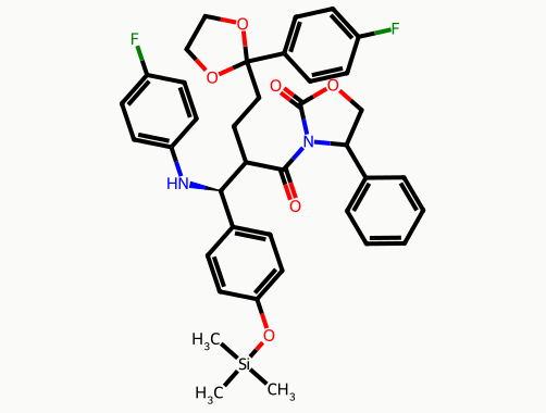 C[Si](C)(C)Oc1ccc([C@@H](Nc2ccc(F)cc2)C(CCC2(c3ccc(F)cc3)OCCO2)C(=O)N2C(=O)OCC2c2ccccc2)cc1